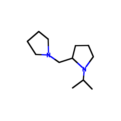 CC(C)N1CCCC1CN1CCCC1